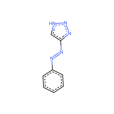 c1ccc(N=Nc2c[nH]nn2)cc1